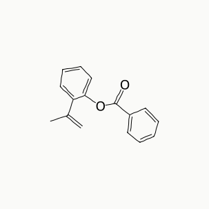 C=C(C)c1ccccc1OC(=O)c1ccccc1